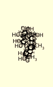 CC1=C[C@]23CC[C@@H]4[C@](C)(CCC[C@@]4(C)C(=O)O)[C@H]2CC[C@@]1(O[C@@H]1O[C@H](CO)[C@@H](O)[C@H](OC2O[C@H](CO)[C@@H](O)[C@H](O)[C@H]2O)[C@H]1OC1O[C@H](CO)[C@@H](O)[C@H](O)[C@H]1O)C3